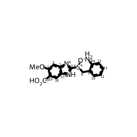 COc1cc2nc([S+]([O-])Cc3ccccc3N)[nH]c2cc1C(=O)O